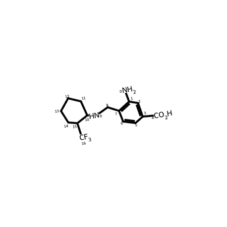 Nc1cc(C(=O)O)ccc1CNC1CCCCC1C(F)(F)F